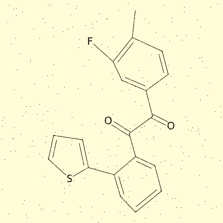 Cc1ccc(C(=O)C(=O)c2ccccc2-c2cccs2)cc1F